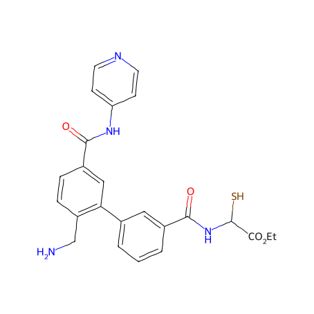 CCOC(=O)C(S)NC(=O)c1cccc(-c2cc(C(=O)Nc3ccncc3)ccc2CN)c1